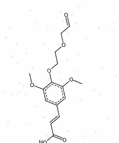 COc1cc(C=CC(=O)O)cc(OC)c1OCCOCC=O